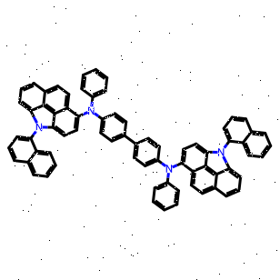 c1ccc(N(c2ccc(-c3ccc(N(c4ccccc4)c4ccc5c6c4ccc4cccc(c46)n5-c4cccc5ccccc45)cc3)cc2)c2ccc3c4c2ccc2cccc(c24)n3-c2cccc3ccccc23)cc1